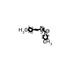 Cc1ccc(C#Cc2ncc(C(=O)N3CCC(C)CC3)s2)cc1